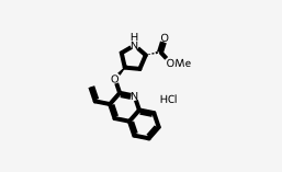 C=Cc1cc2ccccc2nc1O[C@H]1CN[C@H](C(=O)OC)C1.Cl